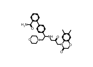 Cc1cc2c(cc1C)N(CC(=O)CNC(CN1CCOCC1)c1ccc(-c3ccccc3C(N)=O)cc1)C(=O)CO2